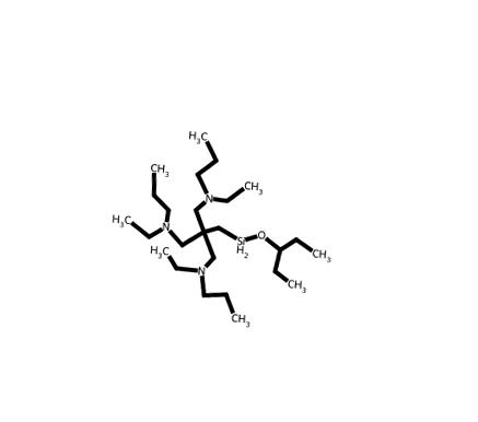 CCCN(CC)CC(C[SiH2]OC(CC)CC)(CN(CC)CCC)CN(CC)CCC